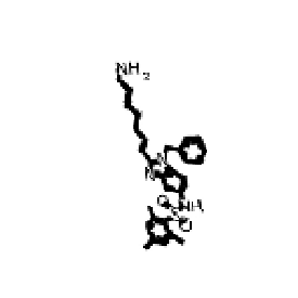 Cc1cc(C)c(S(=O)(=O)Nc2ccc3c(c2)nc(CCCCCCCN)n3Cc2ccccc2)c(C)c1